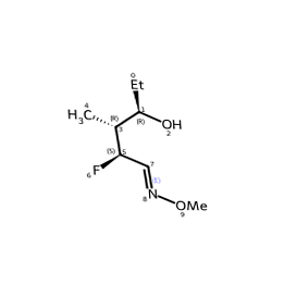 CC[C@@H](O)[C@@H](C)[C@H](F)/C=N/OC